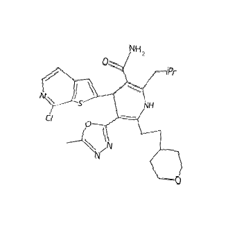 Cc1nnc(C2=C(CCC3CCOCC3)NC(CC(C)C)=C(C(N)=O)C2c2cc3ccnc(Cl)c3s2)o1